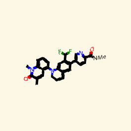 CNC(=O)c1ccc(-c2cc3c(cc2C(F)F)N(c2cccc4c2cc(C)c(=O)n4C)CCC3)cn1